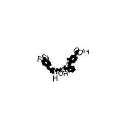 Cc1cc(C(=O)O)ccc1Oc1ccccc1C(C)OC[C@H](O)CNC(C)(C)Cc1ccc(Cl)c(F)c1